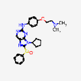 CN(C)CCOc1ccc(Nc2ncc3nc([S+]([O-])c4ccccc4)n(C4CCCC4)c3n2)cc1